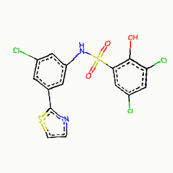 O=S(=O)(Nc1cc(Cl)cc(-c2nccs2)c1)c1cc(Cl)cc(Cl)c1O